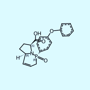 O=C(O)[C@@H]1CC[C@@H]2C=CC[P@@](=O)(c3ccc(Oc4ccccc4)cc3)N21